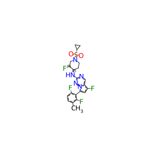 Cc1ccc(F)c(-c2cc(F)c3cnc(N[C@@H]4CCN(S(=O)(=O)C5CC5)C[C@H]4F)nn23)c1F